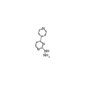 NNc1nccc(-c2ccncc2)n1